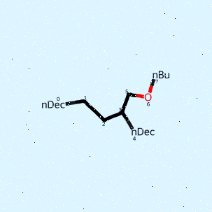 CCCCCCCCCCCCC(CCCCCCCCCC)COCCCC